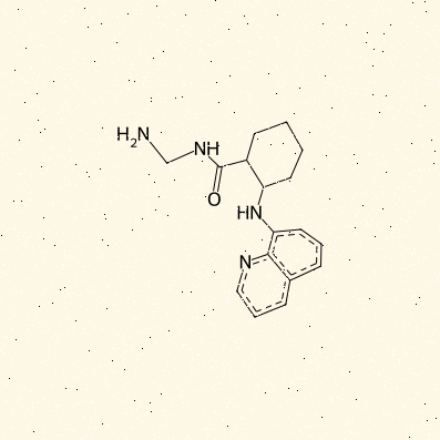 NCNC(=O)C1CCCCC1Nc1cccc2cccnc12